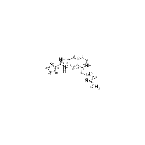 Cc1noc(CC2NCCc3ccc(NC(=N)c4cccs4)cc32)n1